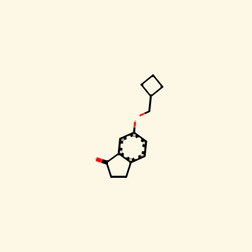 O=C1CCc2ccc(OCC3CCC3)cc21